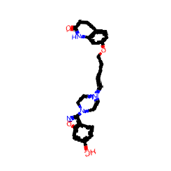 O=C1CCc2ccc(OCCCCN3CCN(c4noc5cc(O)ccc45)CC3)cc2N1